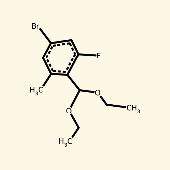 CCOC(OCC)c1c(C)cc(Br)cc1F